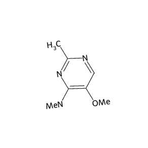 CNc1nc(C)ncc1OC